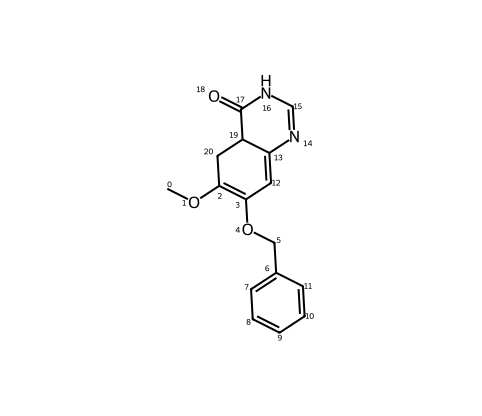 COC1=C(OCc2ccccc2)C=C2N=CNC(=O)C2C1